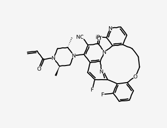 C=CC(=O)N1C[C@H](C)N(c2c(C#N)c(=O)n3c4nc(c(F)cc24)-c2c(F)cccc2OCCCc2ccnc(C(C)C)c2-3)C[C@H]1C